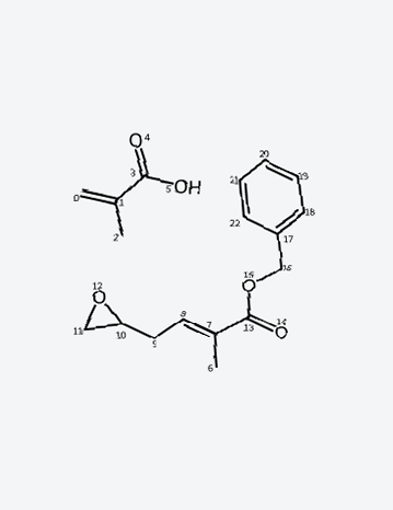 C=C(C)C(=O)O.CC(=CCC1CO1)C(=O)OCc1ccccc1